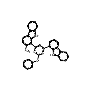 O=[N+]([O-])c1ccc2c([nH]c3ccccc32)c1-c1nc(Oc2ccccc2)nc(-c2cccc3c2[nH]c2ccccc23)n1